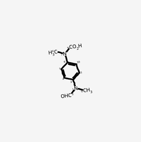 CN(C=O)c1ccc(N(C)C(=O)O)cc1